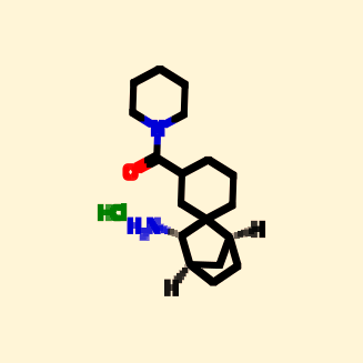 Cl.N[C@H]1[C@@H]2CC[C@@H](C2)C12CCCC(C(=O)N1CCCCC1)C2